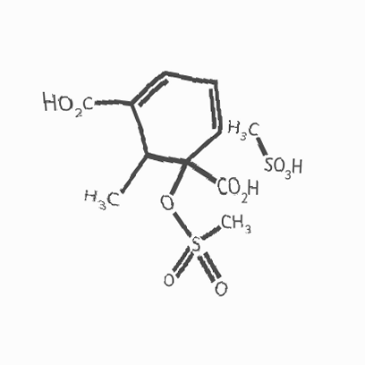 CC1C(C(=O)O)=CC=CC1(OS(C)(=O)=O)C(=O)O.CS(=O)(=O)O